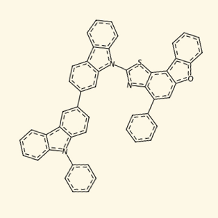 c1ccc(-c2cc3oc4ccccc4c3c3sc(-n4c5ccccc5c5ccc(-c6ccc7c(c6)c6ccccc6n7-c6ccccc6)cc54)nc23)cc1